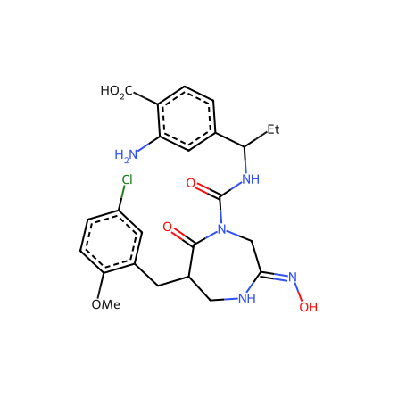 CCC(NC(=O)N1C/C(=N/O)NCC(Cc2cc(Cl)ccc2OC)C1=O)c1ccc(C(=O)O)c(N)c1